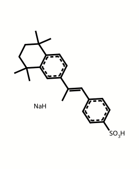 CC(=Cc1ccc(S(=O)(=O)O)cc1)c1ccc2c(c1)C(C)(C)CCC2(C)C.[NaH]